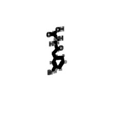 O=C(O)NNC(=O)Cc1cccc(Br)c1